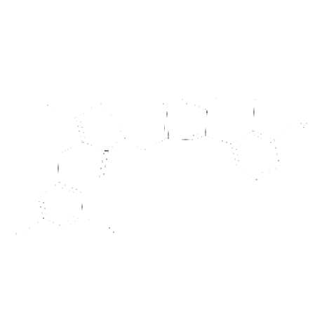 COc1cccc(/C(=C/C(=N)Cn2cnc(C(F)(F)F)c(Oc3cc(Cl)cc(C#N)c3)c2=O)C(N)=O)c1F